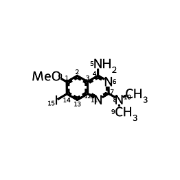 COc1cc2c(N)nc(N(C)C)nc2cc1I